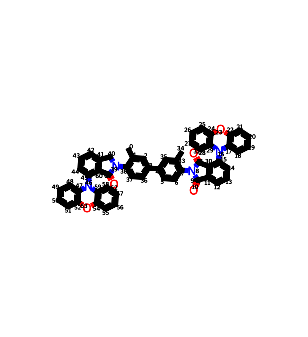 Cc1cc(-c2ccc(N3C(=O)c4cccc(N5c6ccccc6Oc6ccccc65)c4C3=O)c(C)c2)ccc1N1Cc2cccc(N3c4ccccc4Oc4ccccc43)c2C1=O